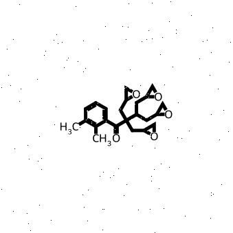 Cc1cccc(C(=O)C(CC2CO2)(CC2CO2)C(CC2CO2)CC2CO2)c1C